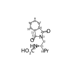 CC(C)C(CN1C(=O)c2ccccc2C1=O)NC(=O)O